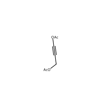 CC(=O)OC#CCOC(C)=O